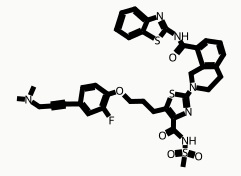 CN(C)CC#Cc1ccc(OCCCc2sc(N3CCc4cccc(C(=O)Nc5nc6ccccc6s5)c4C3)nc2C(=O)NS(C)(=O)=O)c(F)c1